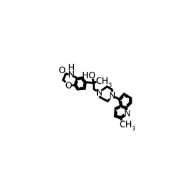 Cc1ccc2c(N3CCN(CC(C)(O)c4ccc5c(c4)NC(=O)CO5)CC3)cccc2n1